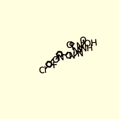 O=C(O)c1nc2c(nc(CN3CC=C(c4cccc(OCc5ccc(Cl)cc5F)n4)CC3)n2CC2CCO2)[nH]1